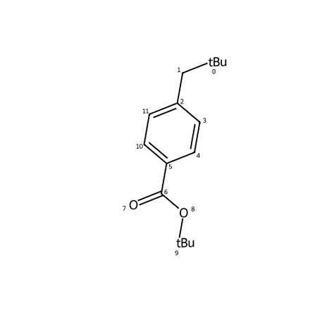 CC(C)(C)Cc1ccc(C(=O)OC(C)(C)C)cc1